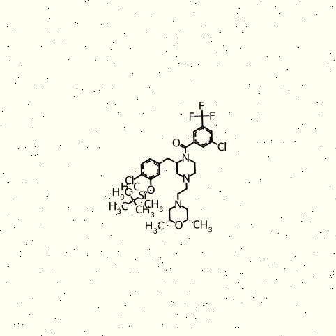 C[C@@H]1CN(CCN2CCN(C(=O)c3cc(Cl)cc(C(F)(F)F)c3)[C@H](Cc3ccc(Cl)c(O[Si](C)(C)C(C)(C)C)c3)C2)C[C@H](C)O1